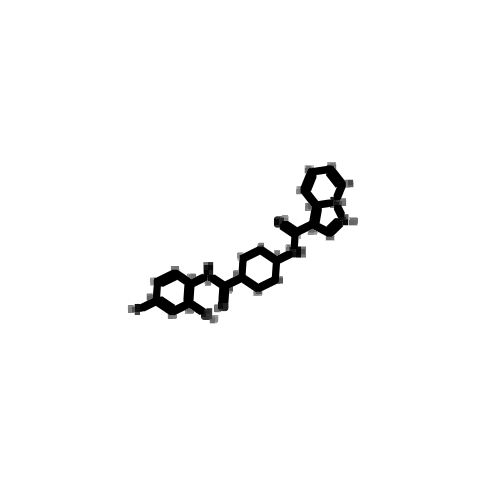 O=C(NC1CCC(C(=O)Nc2ccc(F)cc2Cl)CC1)c1cnn2ccccc12